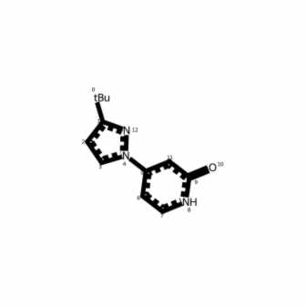 CC(C)(C)c1ccn(-c2cc[nH]c(=O)c2)n1